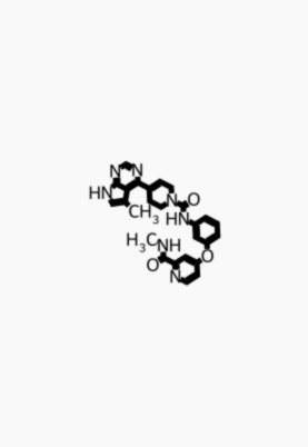 CNC(=O)c1cc(Oc2cccc(NC(=O)N3CC=C(c4ncnc5[nH]cc(C)c45)CC3)c2)ccn1